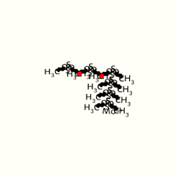 CCCOP(=S)([S-])OCCC.CCCOP(=S)([S-])OCCC.CCCOP(=S)([S-])OCCC.CCCOP(=S)([S-])OCCC.CCCOP(=S)([S-])OCCC.CCCOP(=S)([S-])OCCC.[Mo+6]